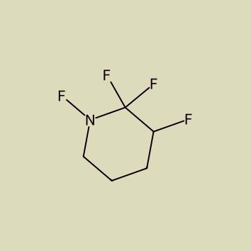 FC1CCCN(F)C1(F)F